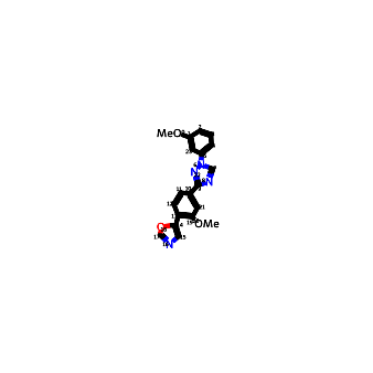 COc1cccc(-n2cnc(-c3ccc(-c4cnco4)c(OC)c3)n2)c1